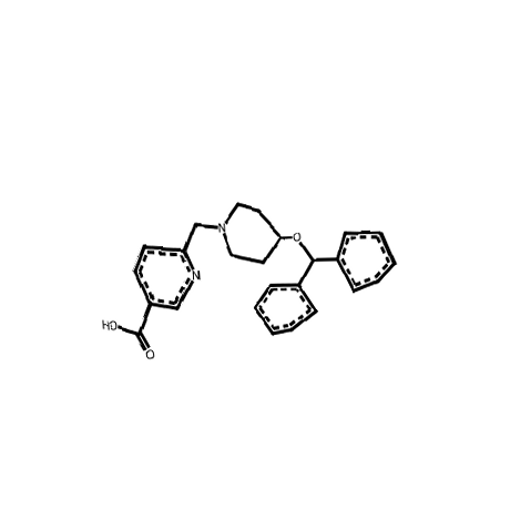 O=C(O)c1ccc(CN2CCC(OC(c3ccccc3)c3ccccc3)CC2)nc1